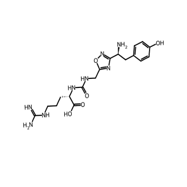 N=C(N)NCCC[C@H](NC(=O)NCc1nc([C@@H](N)Cc2ccc(O)cc2)no1)C(=O)O